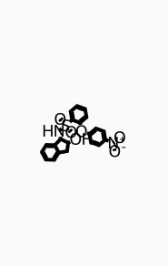 O=[N+]([O-])c1ccc(Oc2ccccc2S(=O)(=O)NC2c3ccccc3CC2O)cc1